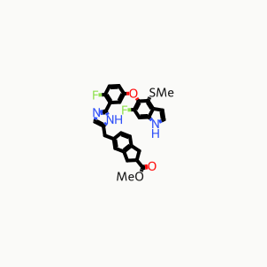 COC(=O)C1Cc2ccc(Cc3cnc(-c4cc(Oc5c(F)cc6[nH]ccc6c5SC)ccc4F)[nH]3)cc2C1